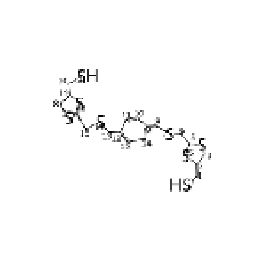 SCC1CSC(CSCc2ccc(CSCC3SCC(CS)S3)cc2)S1